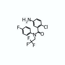 Nc1ccc(Cl)c(C(=O)N(CC(F)(F)F)c2ccc(F)cc2)c1